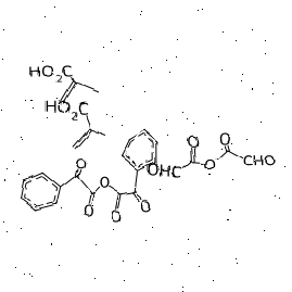 C=C(C)C(=O)O.C=C(C)C(=O)O.O=C(OC(=O)C(=O)c1ccccc1)C(=O)c1ccccc1.O=CC(=O)OC(=O)C=O